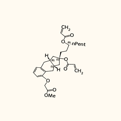 C=CC(=O)O[C@H](CCCCC)CC[C@]1(OC(=O)C=C)C[C@H]2Cc3cccc(OCC(=O)OC)c3C[C@H]2C1